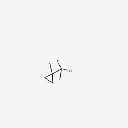 CCC(F)(F)C1(C)CC1